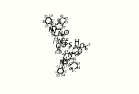 C=C(C)OC(=O)N[C@@H](CSSC[C@H](NC(=O)OC(=C)C)C(=O)N1CCn2nc(-c3ccccc3)cc2[C@@H]1CC1CCCCC1)C(=O)N1CCn2nc(-c3ccccc3)cc2[C@@H]1CC1CCCCC1